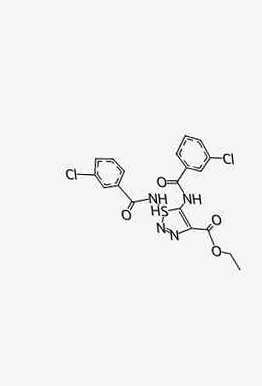 CCOC(=O)C1=C(NC(=O)c2cccc(Cl)c2)[SH](NC(=O)c2cccc(Cl)c2)N=N1